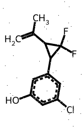 C=C(C)C1C(c2cc(O)cc(Cl)c2)C1(F)F